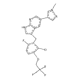 Cn1cc(-c2cnc3[nH]cc(Cc4c(F)ccc(OCC(F)(F)F)c4Cl)c3c2)cn1